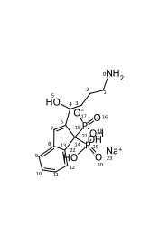 NCCCC(O)C1=Cc2ccccc2C1(P(=O)([O-])O)P(=O)(O)O.[Na+]